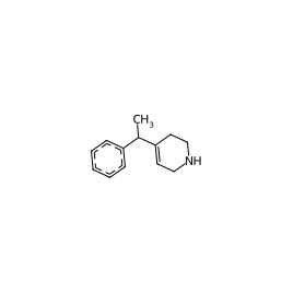 CC(C1=CCNCC1)c1ccccc1